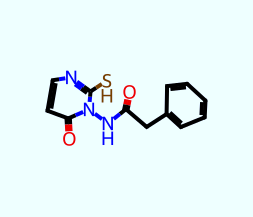 O=C(Cc1ccccc1)Nn1c(S)nccc1=O